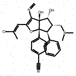 C=NC1=C(/C=C(\C)Cl)O[C@@]2(c3ccc(C#N)cc3)[C@H](c3ccccc3)[C@@H](CN(C)C)[C@@H](O)[C@@]12O